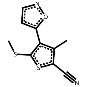 CSc1sc(C#N)c(C)c1-c1ccno1